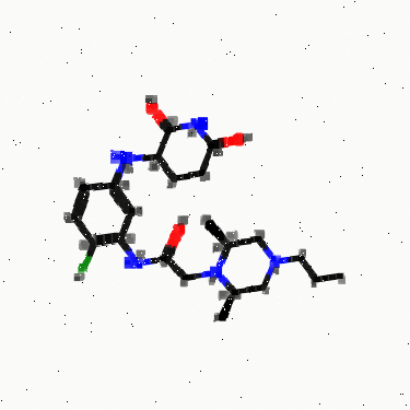 CCCN1C[C@@H](C)N(CC(=O)Nc2cc(NC3CCC(=O)NC3=O)ccc2F)[C@@H](C)C1